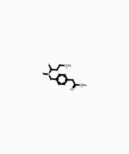 COC(=O)Cc1ccc(CN(C)C(C)CCC=O)cc1